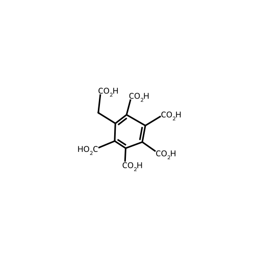 O=C(O)Cc1c(C(=O)O)c(C(=O)O)c(C(=O)O)c(C(=O)O)c1C(=O)O